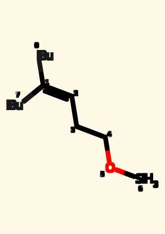 CCC(C)C(=CCCO[SiH3])C(C)CC